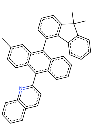 Cc1ccc2c(-c3ccc4ccccc4n3)c3ccccc3c(-c3cccc4c3-c3ccccc3C4(C)C)c2c1